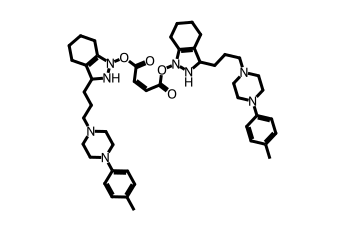 Cc1ccc(N2CCN(CCCC3NN(OC(=O)/C=C\C(=O)ON4NC(CCCN5CCN(c6ccc(C)cc6)CC5)C5=C4CCCC5)C4=C3CCCC4)CC2)cc1